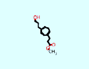 COC(=O)CCC1=CCC=C(CCCO)C=C1